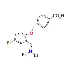 CCN(CC)Cc1cc(Br)ccc1OCc1ccc(C(=O)O)cc1